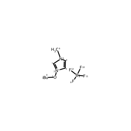 CCC(C)O[n+]1ccn(C)c1.F[B-](F)(F)F